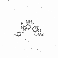 COc1cc(-c2cc(N)c3c(F)nn(Cc4ccc(F)cc4)c3c2)cn(C)c1=O